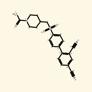 CC(=O)N1CCC(CS(=O)(=O)c2ccc(-c3ccc(C#N)cc3C#N)cc2)CC1